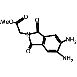 COC(=O)CN1C(=O)c2cc(N)c(N)cc2C1=O